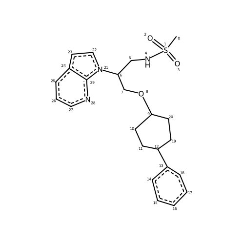 CS(=O)(=O)NCC(COC1CCC(c2ccccc2)CC1)n1ccc2cccnc21